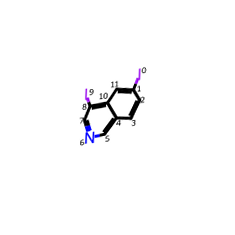 Ic1ccc2cncc(I)c2c1